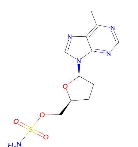 Cc1ncnc2c1ncn2[C@H]1CC[C@@H](COS(N)(=O)=O)O1